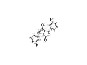 O=C1OC(c2cccc(F)c2)C2C(=O)OC(c3cccc(F)c3)C12